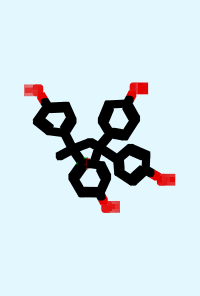 CC(CC(CCl)(c1ccc(O)cc1)c1ccc(O)cc1)(c1ccc(O)cc1)c1ccc(O)cc1